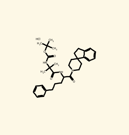 CC(C)(C)OC(=O)NC(C)(C)C(=O)NC(CCCc1ccccc1)C(=O)N1CCC2(CCc3ccccc32)CC1.Cl